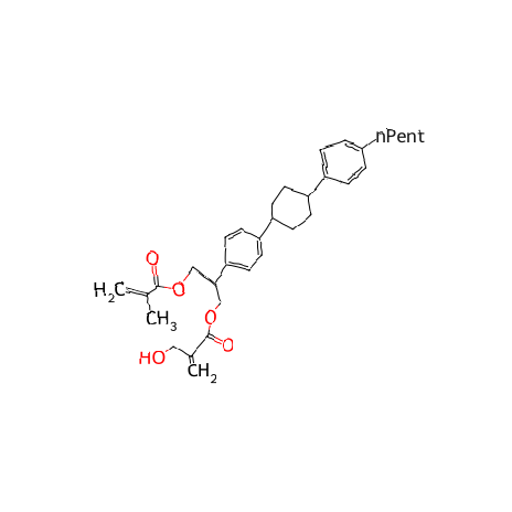 C=C(C)C(=O)OCC(COC(=O)C(=C)CO)c1ccc(C2CCC(c3ccc(CCCCC)cc3)CC2)cc1